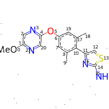 COc1cnc(Oc2cc(C)c(-c3csc(N)n3)c(C)c2)cn1